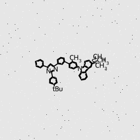 Cc1cc(-n2c3ccccc3c3cc([Si](C)(C)C)ccc32)ccc1-c1cccc(-c2cc(-c3ccccc3)nc(-c3ccc(C(C)(C)C)cc3)n2)c1